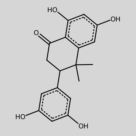 CC1(C)c2cc(O)cc(O)c2C(=O)CC1c1cc(O)cc(O)c1